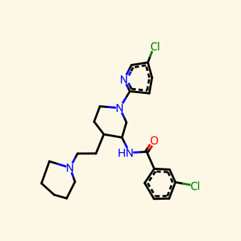 O=C(NC1CN(c2ccc(Cl)cn2)CCC1CCN1CCCCC1)c1cccc(Cl)c1